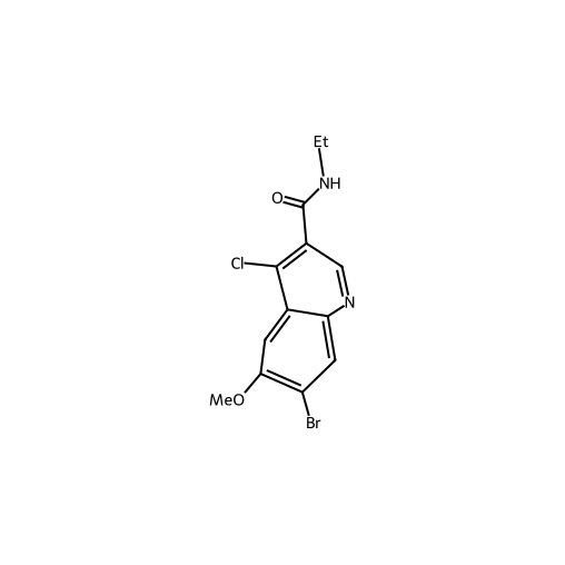 CCNC(=O)c1cnc2cc(Br)c(OC)cc2c1Cl